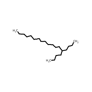 [CH2]CCCC(CCCC)CCCCCCCCCCCCC